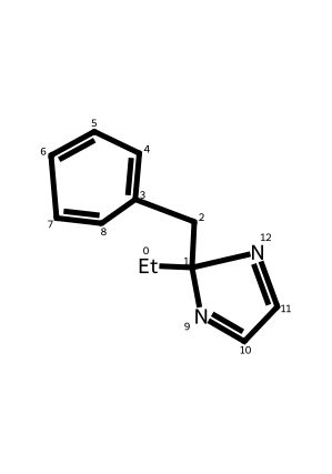 CCC1(Cc2ccccc2)N=CC=N1